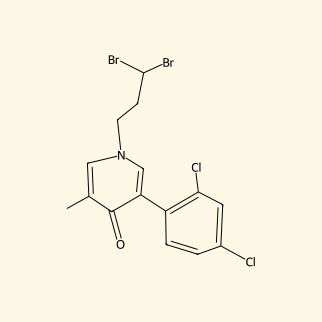 Cc1cn(CCC(Br)Br)cc(-c2ccc(Cl)cc2Cl)c1=O